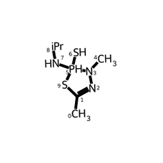 CC1=NN(C)[PH](S)(NC(C)C)S1